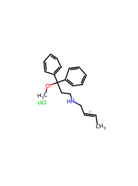 C/C=C/CNCCC(OC)(c1ccccc1)c1ccccc1.Cl